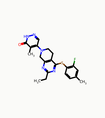 CCc1nc2c(c(Sc3ccc(C)cc3F)n1)CCN(c1cn[nH]c(=O)c1C)C2